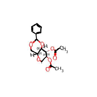 CC(=O)O[C@H]1[C@@H]2OC(c3ccccc3)OC[C@H]2O[CH][C@@H]1OC(C)=O